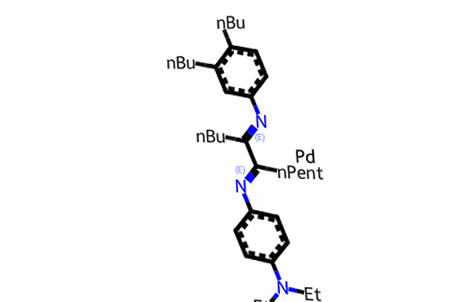 CCCCCC(=N\c1ccc(N(CC)CC)cc1)/C(CCCC)=N/c1ccc(CCCC)c(CCCC)c1.[Pd]